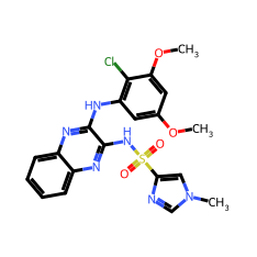 COc1cc(Nc2nc3ccccc3nc2NS(=O)(=O)c2cn(C)cn2)c(Cl)c(OC)c1